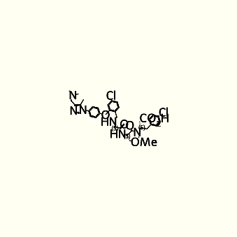 COC[C@H](NC(=O)[C@H](C)NCc1ccc(Cl)cc1Oc1ccc(-n2cnc(CN(C)C)c2C)cc1)C(=O)N(C)[C@H](CC(=O)O)Cc1ccc(Cl)cc1